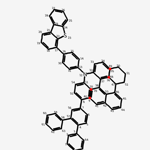 c1ccc(-c2ccc(-c3ccc(N(c4ccc(-c5cccc6c5sc5ccccc56)cc4)c4ccccc4-c4cccc5cccc(C6CCCCC6)c45)cc3)cc2-c2ccccc2)cc1